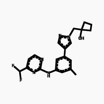 Cc1cc(Nc2nccc(C(F)F)n2)cc(-c2cnn(CC3(O)CCC3)c2)c1